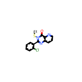 CCSn1c(-c2ccccc2Cl)nc2cccnc2c1=O